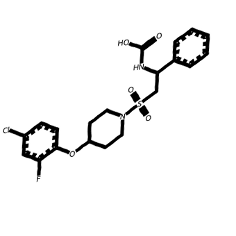 O=C(O)NC(CS(=O)(=O)N1CCC(Oc2ccc(Cl)cc2F)CC1)c1ccccc1